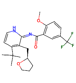 COc1ccc(C(F)(F)F)cc1C(=O)/N=c1/[nH]ccc(C(C)(C)C)c1C[C@H]1CCCO1